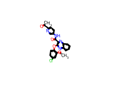 COc1cc(Cl)ccc1Oc1nc2ccccc2nc1C(=O)Nc1ccc(C(C)=O)nc1